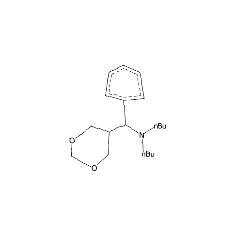 CCCCN(CCCC)C(c1ccccc1)C1COCOC1